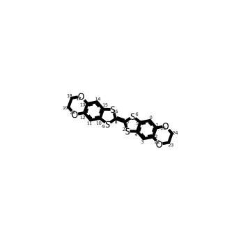 c1c2c(cc3c1SC(=C1Sc4cc5c(cc4S1)OCCO5)S3)OCCO2